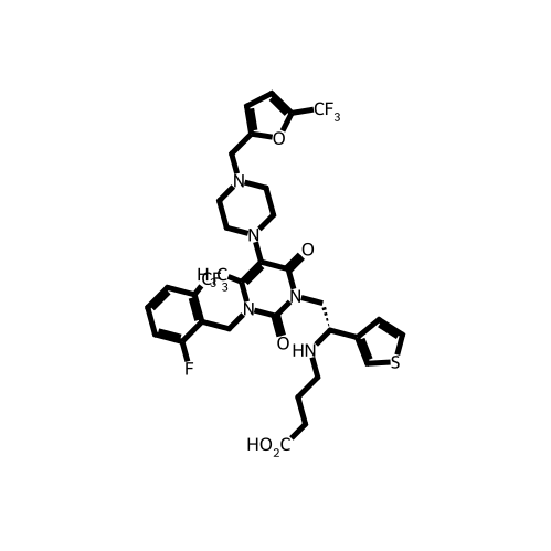 Cc1c(N2CCN(Cc3ccc(C(F)(F)F)o3)CC2)c(=O)n(C[C@@H](NCCCC(=O)O)c2ccsc2)c(=O)n1Cc1c(F)cccc1C(F)(F)F